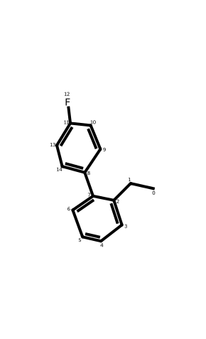 CCc1ccccc1-c1ccc(F)cc1